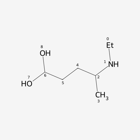 CCNC(C)CCC(O)O